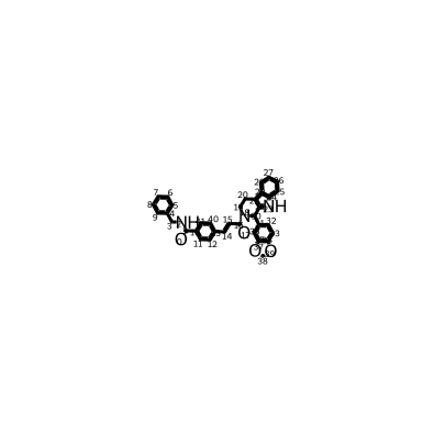 O=C(NCc1ccccc1)c1ccc(/C=C/C(=O)N2CCc3c([nH]c4ccccc34)C2c2ccc3c(c2)OCO3)cc1